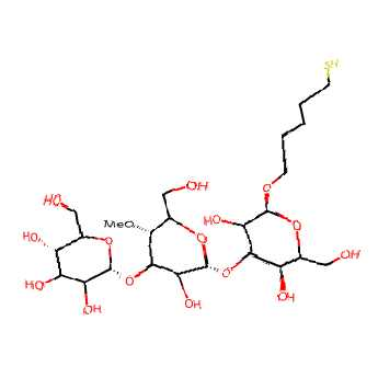 CO[C@@H]1C(CO)O[C@H](OC2C(O)[C@@H](OCCCCCS)OC(CO)[C@H]2O)C(O)C1O[C@H]1OC(CO)[C@@H](O)C(O)C1O